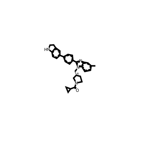 Cc1ccc2c(c1)nc(-c1ccc(-c3ccc4c(c3)CCN4)cc1)n2C[C@@H]1CCN(C(=O)C2CC2)C1